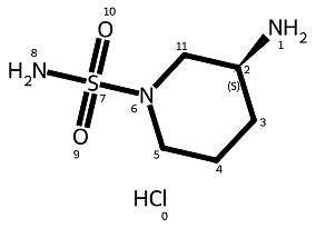 Cl.N[C@H]1CCCN(S(N)(=O)=O)C1